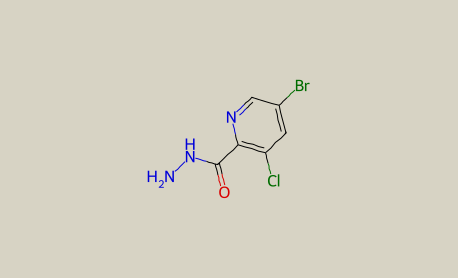 NNC(=O)c1ncc(Br)cc1Cl